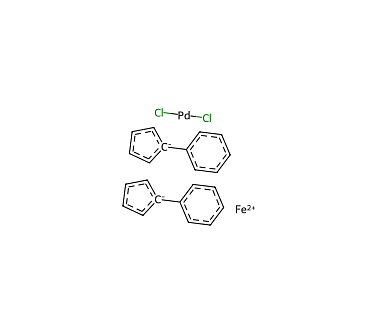 [Cl][Pd][Cl].[Fe+2].c1ccc(-[c-]2cccc2)cc1.c1ccc(-[c-]2cccc2)cc1